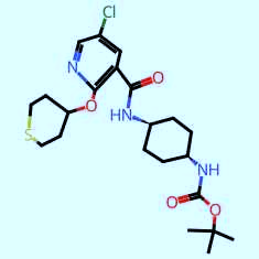 CC(C)(C)OC(=O)N[C@H]1CC[C@@H](NC(=O)c2cc(Cl)cnc2OC2CCSCC2)CC1